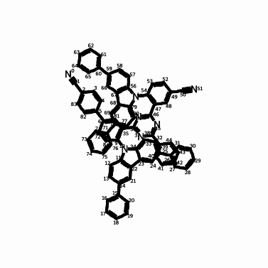 N#Cc1ccc(-c2ccc(-n3c4ccc(-c5ccccc5)cc4c4cc(-c5ccccc5)ccc43)c(-c3nc(-c4ccccc4)nc(-c4cc(C#N)ccc4-n4c5ccc(-c6ccccc6)cc5c5cc(-c6ccccc6)ccc54)n3)c2)cc1